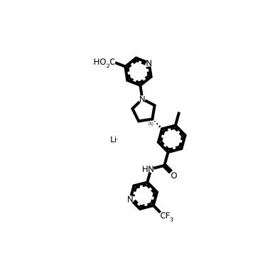 Cc1ccc(C(=O)Nc2cncc(C(F)(F)F)c2)cc1[C@@H]1CCN(c2cncc(C(=O)O)c2)C1.[Li]